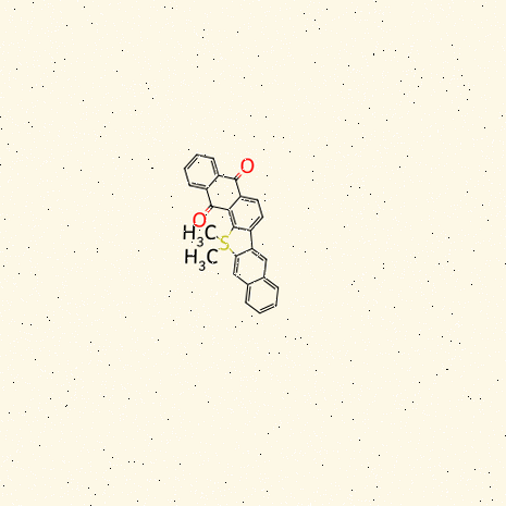 CS1(C)c2cc3ccccc3cc2-c2ccc3c(c21)C(=O)c1ccccc1C3=O